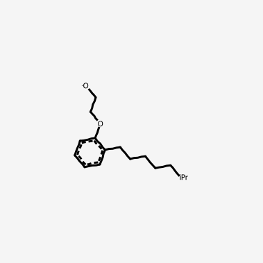 CC(C)CCCCCc1ccccc1OCC[O]